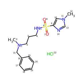 CN(CCCNS(=O)(=O)c1cn(C)cn1)Cc1ccccc1.Cl